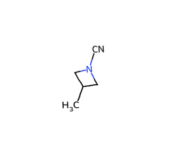 CC1CN(C#N)C1